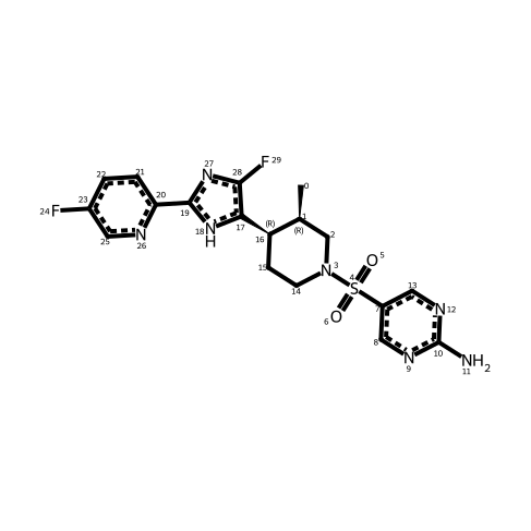 C[C@H]1CN(S(=O)(=O)c2cnc(N)nc2)CC[C@H]1c1[nH]c(-c2ccc(F)cn2)nc1F